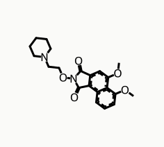 COc1cccc2c3c(cc(OC)c12)C(=O)N(OCCN1CCCCC1)C3=O